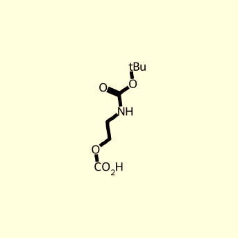 CC(C)(C)OC(=O)NCCOC(=O)O